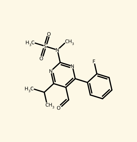 CC(C)c1nc(N(C)S(C)(=O)=O)nc(-c2ccccc2F)c1C=O